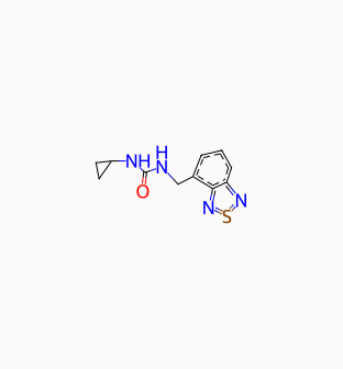 O=C(NCc1cccc2nsnc12)NC1CC1